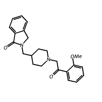 COc1ccccc1C(=O)CN1CCC(CN2Cc3ccccc3C2=O)CC1